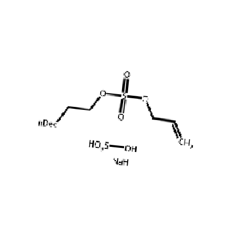 C=CCOS(=O)(=O)OCCCCCCCCCCCC.O=S(=O)(O)O.[NaH]